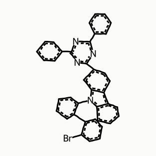 Brc1ccccc1-c1ccccc1-n1c2ccccc2c2ccc(-c3nc(-c4ccccc4)nc(-c4ccccc4)n3)cc21